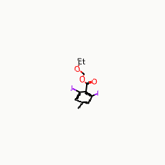 CCOCOC(=O)c1c(I)cc(C)cc1I